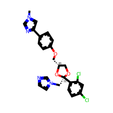 Cn1cnc(-c2ccc(OC[C@@H]3CO[C@@](Cn4ccnc4)(c4ccc(Cl)cc4Cl)O3)cc2)c1